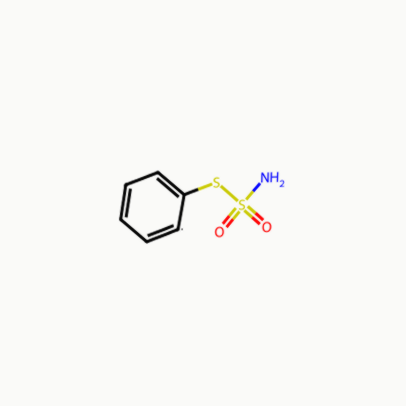 NS(=O)(=O)Sc1[c]cccc1